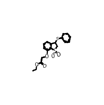 CCOC(=O)COc1cccc2c1S(=O)(=O)CC2Sc1ccccc1